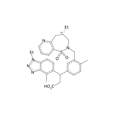 CC[C@H]1Cc2ncccc2S(=O)(=O)N(Cc2cc(C(CC(=O)O)c3ccc4c(nnn4CC)c3C)ccc2C)C1